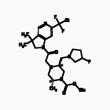 CCC(F)(F)c1cc2c(cn1)C(C)(C)CN2C(=O)CN1C[C@@H](C)N(C(=O)OC(C)(C)C)C[C@@H]1CN1CCC(F)C1